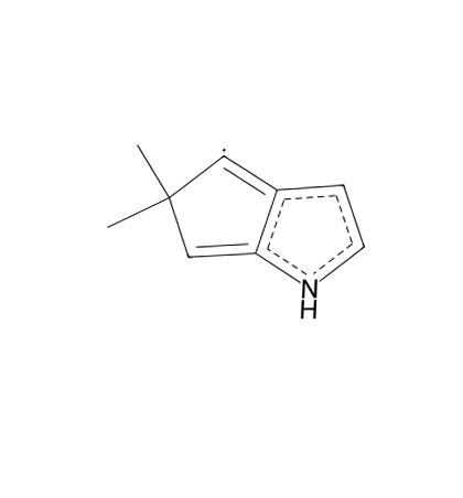 CC1(C)[C]=c2cc[nH]c2=C1